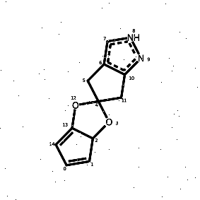 C1=CC2OC3(Cc4c[nH]nc4C3)OC2=C1